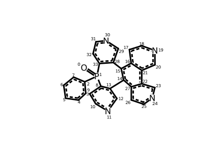 O=P1(c2ccccc2)c2ccncc2-c2c(c3ccncc3c3cnccc23)-c2cnccc21